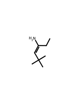 CC/C(N)=C\C(C)(C)C